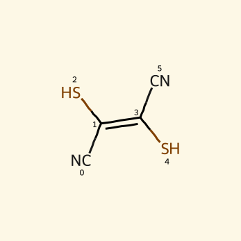 N#CC(S)=C(S)C#N